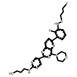 OCCCNc1ncc(-c2nc(N3CCOCC3)c3nc(-c4cccc(NSCCCF)c4F)ccc3n2)cn1